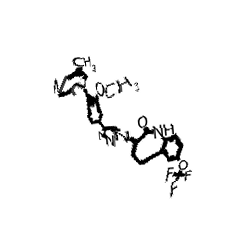 COc1cc(-c2cn(C3CCc4cc(OC(F)(F)F)ccc4NC3=O)nn2)ccc1-n1cnc(C)c1